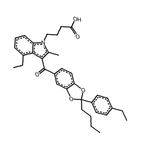 CCCCC1(c2ccc(CC)cc2)Oc2ccc(C(=O)c3c(C)n(CCCC(=O)O)c4cccc(CC)c34)cc2O1